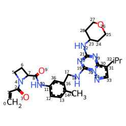 C=CC(=O)N1CCC1C(=O)Nc1ccc(C)c(CNc2nc(NC3CCOCC3)nc3c(C(C)C)cnn23)c1